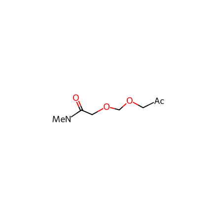 CNC(=O)COCOCC(C)=O